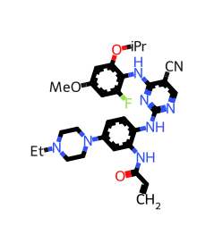 C=CC(=O)Nc1cc(N2CCN(CC)CC2)ccc1Nc1ncc(C#N)c(Nc2c(F)cc(OC)cc2OC(C)C)n1